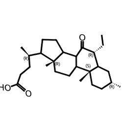 CC[C@H]1C(=O)C2C3CCC([C@H](C)CCC(=O)O)[C@@]3(C)CCC2[C@@]2(C)CC[C@@H](C)CC12